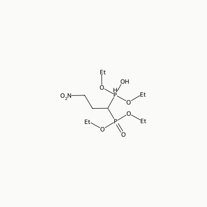 CCOP(=O)(OCC)C(CC[N+](=O)[O-])[PH](O)(OCC)OCC